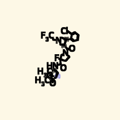 C[C@H](/C=C\S(C)(=O)=O)NC(=O)C1(F)CCN(C(=O)[C@H]2CN(CC(F)(F)F)C[C@H]2c2ccccc2Cl)C1